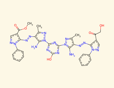 COC(=O)c1cnn(-c2ccccc2)c1/N=N/c1c(C)nn(-c2nc(O)nc(-n3nc(C)c(/N=N/c4c(C(=O)CO)cnn4-c4ccccc4)c3N)n2)c1N